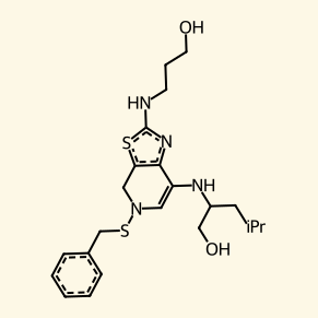 CC(C)CC(CO)NC1=CN(SCc2ccccc2)Cc2sc(NCCCO)nc21